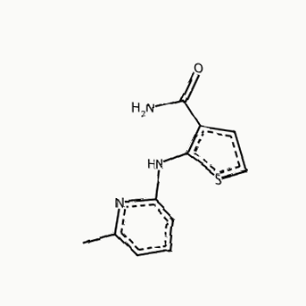 Cc1cccc(Nc2sccc2C(N)=O)n1